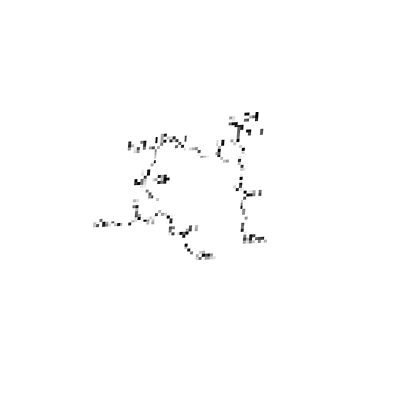 CCCCCCCCCCCC(=O)OC[C@H](COP(=O)(O)OC[C@H](N)C(=O)O)OC(=O)CCCCCCCCCCC.CCCCCCCCCCCCCC(=O)OC[C@H](COP(=O)(O)O)OC(=O)CCCCCCCCCCCCC